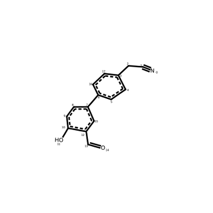 N#CCc1ccc(-c2ccc(O)c(C=O)c2)cc1